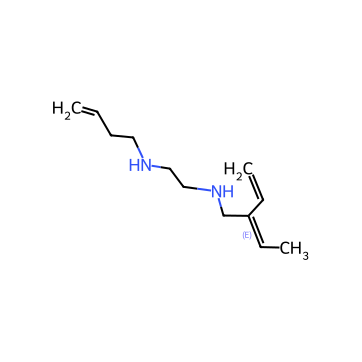 C=CCCNCCNC/C(C=C)=C/C